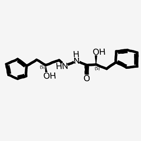 O=C(NNC[C@@H](O)Cc1ccccc1)[C@@H](O)Cc1ccccc1